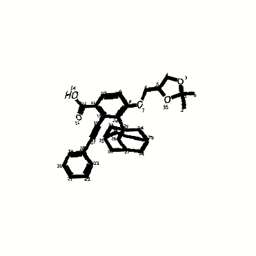 CC1(C)OCC(COc2ccc(C(=O)O)c(C#Cc3ccccc3)c2C23CC4CC(CC(C4)C2)C3)O1